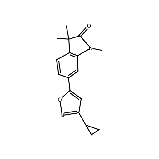 CN1C(=O)C(C)(C)c2ccc(-c3cc(C4CC4)no3)cc21